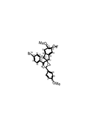 COc1ccc(COC2(C(=O)c3ccc(Br)cc3)Cc3cc(OF)c(OC)cc3C2=O)cc1